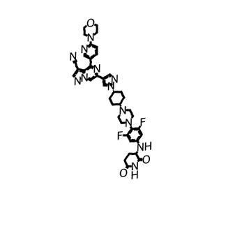 N#Cc1cnn2cc(-c3cnn([C@H]4CC[C@H](N5CCN(c6c(F)cc(NC7CCC(=O)NC7=O)cc6F)CC5)CC4)c3)nc(-c3ccc(N4CCOCC4)nc3)c12